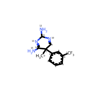 CC1(c2cccc(C(F)(F)F)c2)C=NC(N)N=C1N